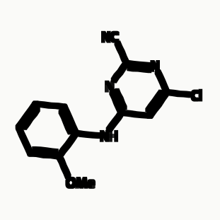 COc1ccccc1Nc1cc(Cl)nc(C#N)n1